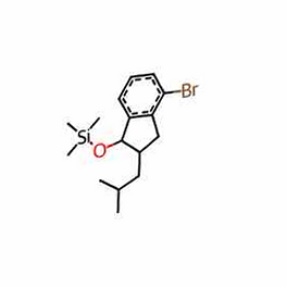 CC(C)CC1Cc2c(Br)cccc2C1O[Si](C)(C)C